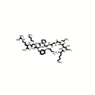 N=C(N)NCC/C=C(\NC(=O)[C@H](CCCCN)NC(=O)[C@H](Cc1cccc(F)c1)NC(=O)[C@@H]1CCCN1C(=O)[C@@H](CCCN)NC(=O)CNC(=O)[C@H](CCN)NC(=O)[C@@H](NC(=O)[C@@H](N)CCCCN)[C@@H](O)CN)C(=O)O